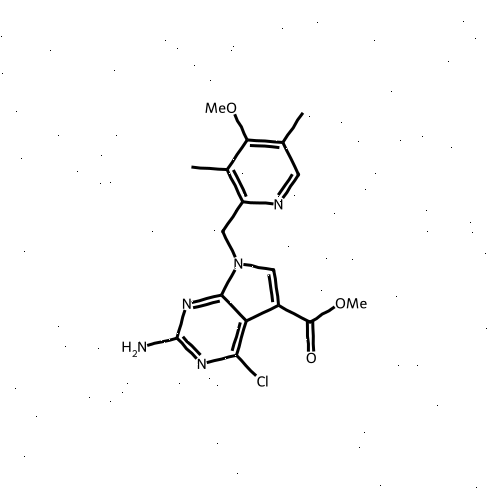 COC(=O)c1cn(Cc2ncc(C)c(OC)c2C)c2nc(N)nc(Cl)c12